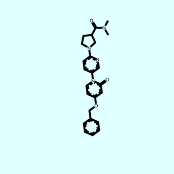 CN(C)C(=O)C1CCN(c2ccc(-n3ccc(OCc4ccccc4)cc3=O)cn2)C1